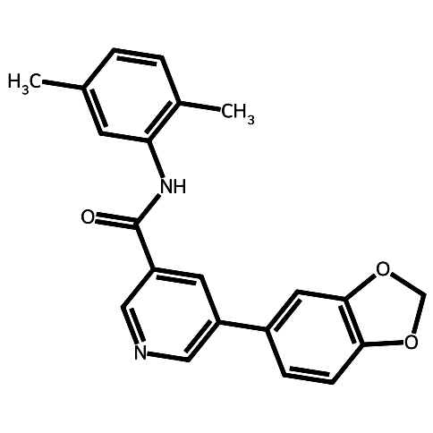 Cc1ccc(C)c(NC(=O)c2cncc(-c3ccc4c(c3)OCO4)c2)c1